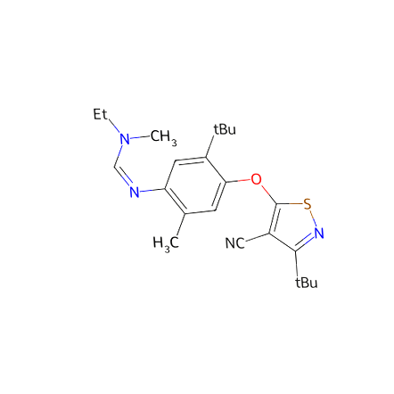 CCN(C)/C=N\c1cc(C(C)(C)C)c(Oc2snc(C(C)(C)C)c2C#N)cc1C